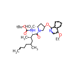 C=CCCC(C)C[C@@H](C)[C@H](NC(=O)OC(C)(C)C)C(=O)N1C[C@H](Oc2ncc(OCC)c3ccccc23)C[C@H]1C(=O)O